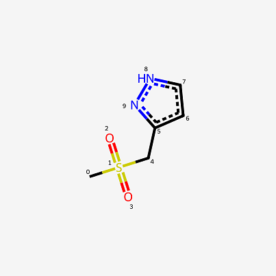 CS(=O)(=O)Cc1cc[nH]n1